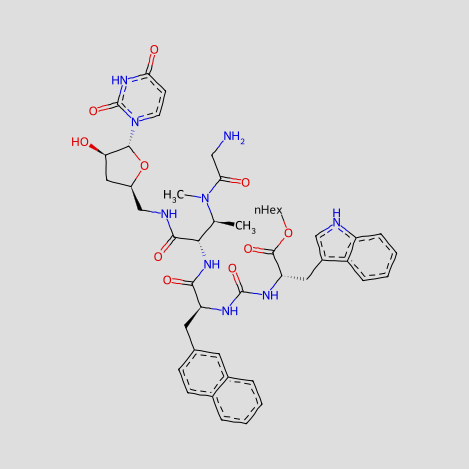 CCCCCCOC(=O)[C@H](Cc1c[nH]c2ccccc12)NC(=O)N[C@@H](Cc1ccc2ccccc2c1)C(=O)N[C@H](C(=O)NC[C@H]1C[C@@H](O)[C@H](n2ccc(=O)[nH]c2=O)O1)[C@H](C)N(C)C(=O)CN